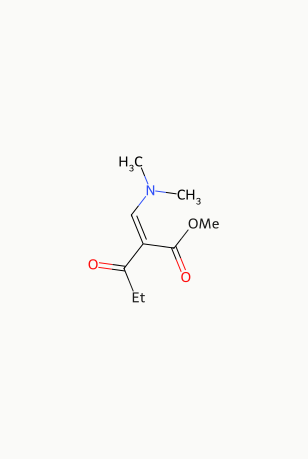 CCC(=O)C(=CN(C)C)C(=O)OC